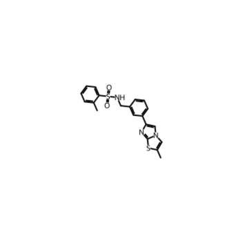 Cc1cn2cc(-c3cccc(CNS(=O)(=O)c4ccccc4C)c3)nc2s1